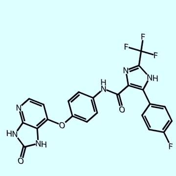 O=C(Nc1ccc(Oc2ccnc3[nH]c(=O)[nH]c23)cc1)c1nc(C(F)(F)F)[nH]c1-c1ccc(F)cc1